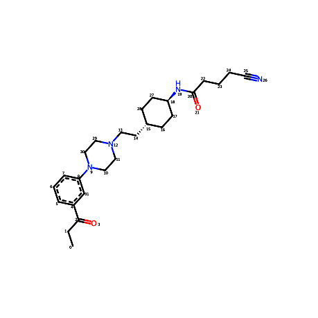 CCC(=O)c1cccc(N2CCN(CC[C@H]3CC[C@H](NC(=O)CCCC#N)CC3)CC2)c1